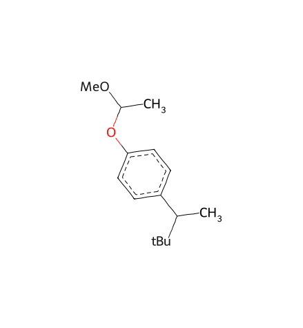 COC(C)Oc1ccc(C(C)C(C)(C)C)cc1